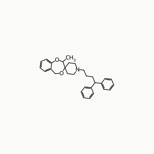 CC1Oc2ccccc2COC12CCN(CCCC(c1ccccc1)c1ccccc1)CC2